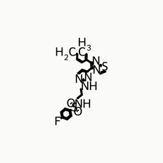 C=C/C=C\C(=C/C)c1nc2sccn2c1-c1ccnc(NCCCNS(=O)(=O)c2ccc(F)cc2)n1